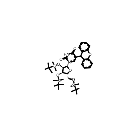 CC(C)(C)[Si](C)(C)OC[C@H]1O[C@@H](n2cc(C3c4ccccc4Oc4ccccc43)c(=O)[nH]c2=O)[C@H](O[Si](C)(C)C(C)(C)C)[C@@H]1O[Si](C)(C)C(C)(C)C